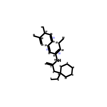 C=C(CC1(CC)CCCCC1)NC(/C=C\C=C/C(C)C(=C)C)=C/CC